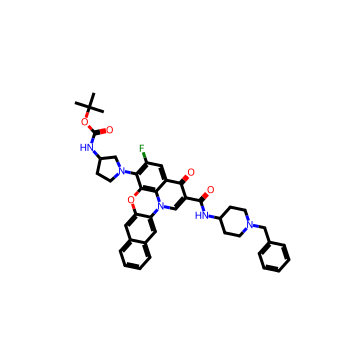 CC(C)(C)OC(=O)NC1CCN(c2c(F)cc3c(=O)c(C(=O)NC4CCN(Cc5ccccc5)CC4)cn4c3c2Oc2cc3ccccc3cc2-4)C1